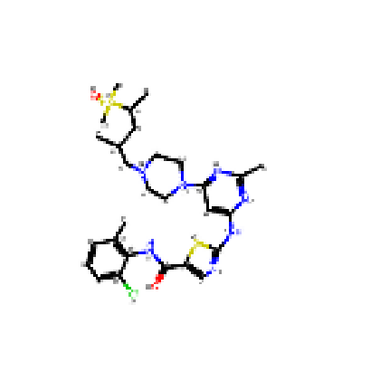 Cc1nc(Nc2ncc(C(=O)Nc3c(C)cccc3Cl)s2)cc(N2CCN(CC(C)CC(C)[SH](C)(C)=O)CC2)n1